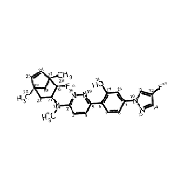 CN(c1ccc(-c2ccc(-n3cc(F)cn3)cc2O)nn1)[C@H]1C[C@]2(C)C=C[C@@](C)(C2)[C@H]1F